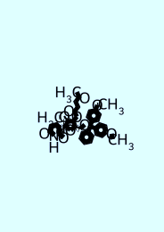 COc1ccc(C(OC[C@H]2O[C@@H](n3ccc(=O)[nH]c3=O)[C@@H](OC)C2OC(=O)CCC(C)=O)(c2ccccc2)c2ccc(OC)cc2)cc1